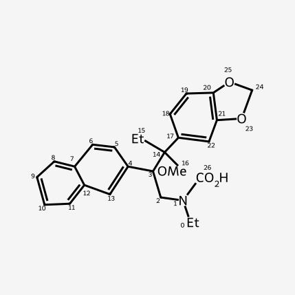 CCN(CC(c1ccc2ccccc2c1)C(CC)(OC)c1ccc2c(c1)OCO2)C(=O)O